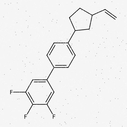 C=CC1CCC(c2ccc(-c3cc(F)c(F)c(F)c3)cc2)C1